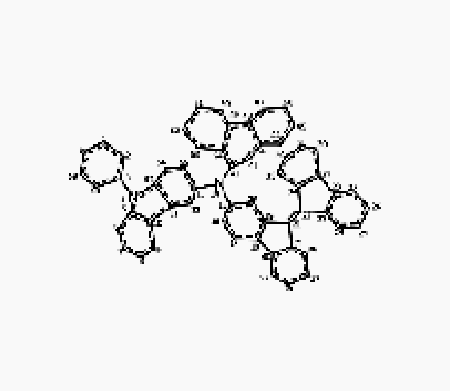 c1ccc(-n2c3ccccc3c3cc(N(c4ccc5c(c4)C(=C4c6ccccc6-c6ccccc64)c4ccccc4-5)c4cc5ccccc5c5ccccc45)ccc32)cc1